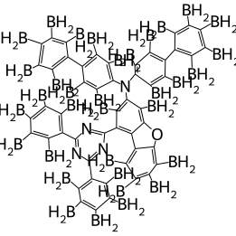 Bc1c(B)c(B)c(-c2nc(-c3c(B)c(B)c(B)c(B)c3B)nc(-c3c(B)c(N(c4c(B)c(B)c(-c5c(B)c(B)c(B)c(B)c5B)c(B)c4B)c4c(B)c(B)c(-c5c(B)c(B)c(B)c(B)c5B)c(B)c4B)c(B)c4oc5c(B)c(B)c(B)c(B)c5c34)n2)c(B)c1B